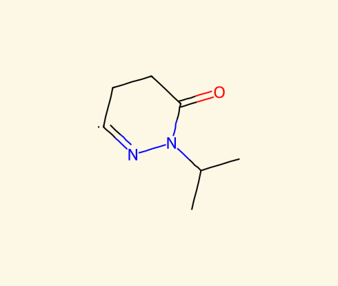 CC(C)N1N=[C]CCC1=O